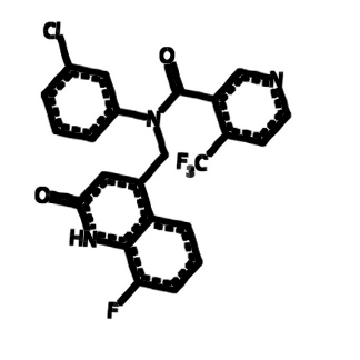 O=C(c1cnccc1C(F)(F)F)N(Cc1cc(=O)[nH]c2c(F)cccc12)c1cccc(Cl)c1